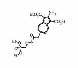 CCOC(=O)c1c2ccc(CC(=O)NOCP(=O)(OCC)OCC)ccc-2c(C(=O)OCC)c1N